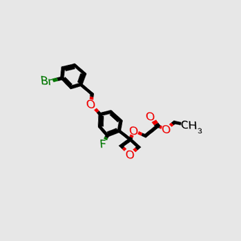 CCOC(=O)COC1(c2ccc(OCc3cccc(Br)c3)cc2F)COC1